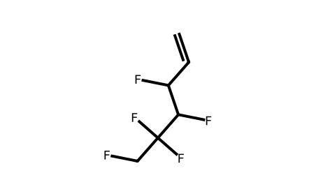 C=CC(F)C(F)C(F)(F)CF